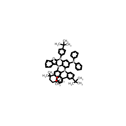 CC(C)(C)c1ccc(N2c3cc(N(c4ccccc4)c4ccccc4)cc4c3B(c3cc5c(cc3N4c3ccc(C(C)(C)C)cc3-c3ccccc3)C(C)(C)CCC5(C)C)c3c2oc2ccccc32)cc1